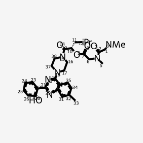 CNCC(=O)N(C)CC(=O)O[C@@H](CC(C)C)C(=O)N1CCN(c2nc(-c3ccccc3O)nc3cc(C)ccc23)CC1